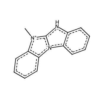 C[n+]1c2ccccc2n2c3ccccc3[nH]c21